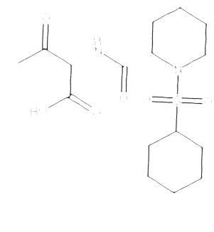 CC(=O)[C@H](NC(=O)[C@@H]1CCCCN1S(=O)(=O)C1CCCCC1)C(=O)O